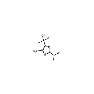 Cn1nc(C(F)F)cc1C(C)(F)F